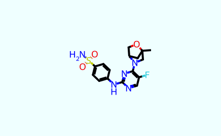 CC12CC(CO1)N(c1nc(Nc3ccc(S(N)(=O)=O)cc3)ncc1F)C2